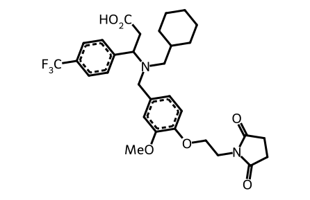 COc1cc(CN(CC2CCCCC2)C(CC(=O)O)c2ccc(C(F)(F)F)cc2)ccc1OCCN1C(=O)CCC1=O